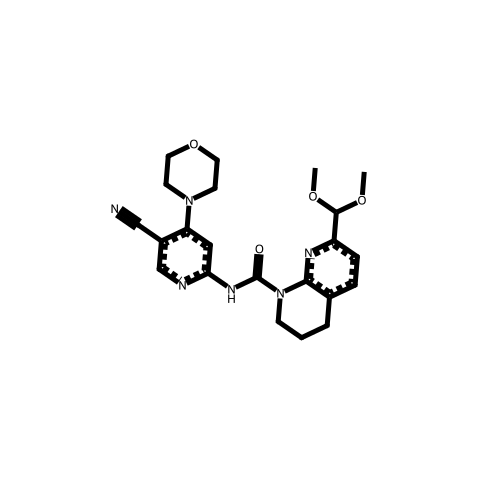 COC(OC)c1ccc2c(n1)N(C(=O)Nc1cc(N3CCOCC3)c(C#N)cn1)CCC2